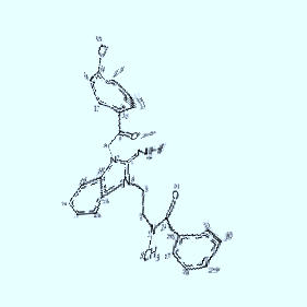 CN(CCn1c(=N)n(CC(=O)c2ccc(Cl)cc2)c2ccccc21)C(=O)c1ccccc1